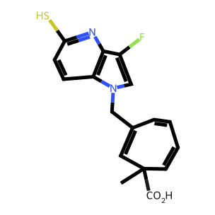 CC1(C(=O)O)C=CC=CC(Cn2cc(F)c3nc(S)ccc32)=C1